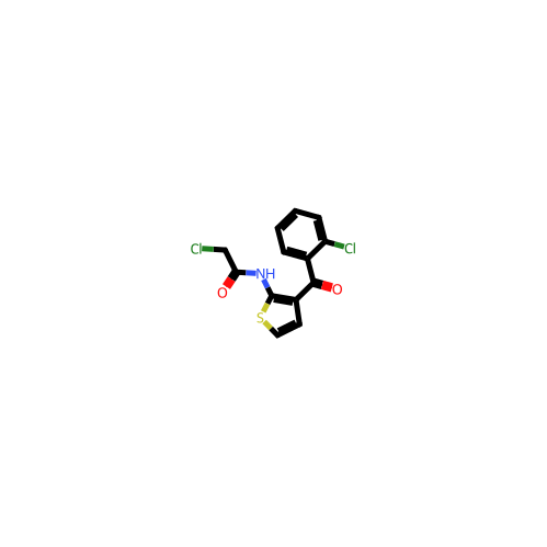 O=C(CCl)Nc1sccc1C(=O)c1ccccc1Cl